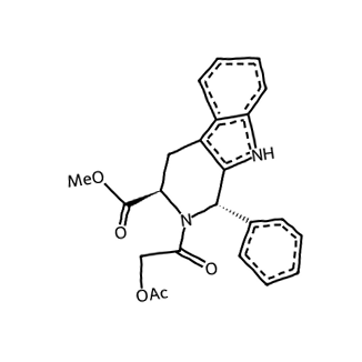 COC(=O)[C@H]1Cc2c([nH]c3ccccc23)[C@H](c2ccccc2)N1C(=O)COC(C)=O